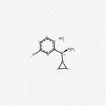 Cl.Fc1cccc([C@@H]([AsH2])C2CC2)c1